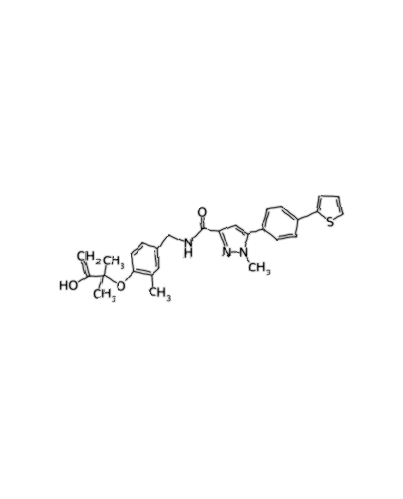 C=C(O)C(C)(C)Oc1ccc(CNC(=O)c2cc(-c3ccc(-c4cccs4)cc3)n(C)n2)cc1C